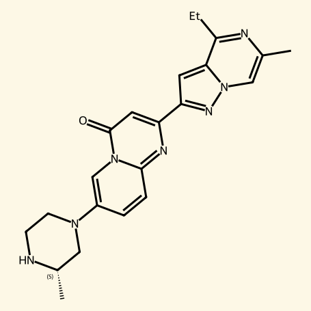 CCc1nc(C)cn2nc(-c3cc(=O)n4cc(N5CCN[C@@H](C)C5)ccc4n3)cc12